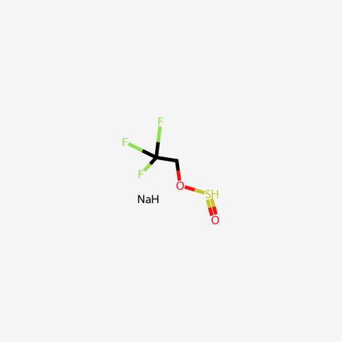 O=[SH]OCC(F)(F)F.[NaH]